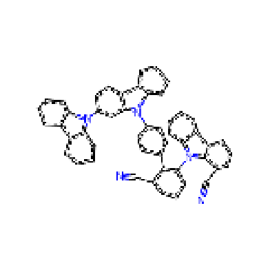 N#Cc1cccc(-n2c3ccccc3c3cccc(C#N)c32)c1-c1ccc(-n2c3ccccc3c3ccc(-n4c5ccccc5c5ccccc54)cc32)cc1